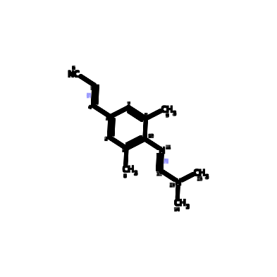 Cc1cc(/C=C/C#N)cc(C)c1/N=C/N(C)C